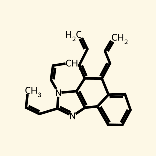 C=C/C=c1\c(=C/C=C)c2c(nc(/C=C\C)n2/C=C\C)c2ccccc12